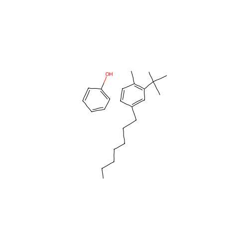 CCCCCCCc1ccc(C)c(C(C)(C)C)c1.Oc1ccccc1